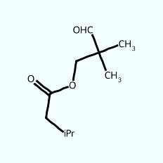 CC(C)CC(=O)OCC(C)(C)C=O